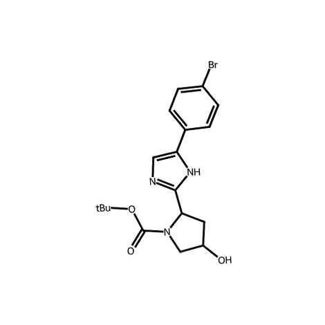 CC(C)(C)OC(=O)N1CC(O)CC1c1ncc(-c2ccc(Br)cc2)[nH]1